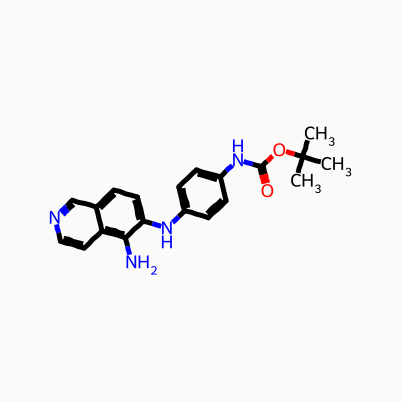 CC(C)(C)OC(=O)Nc1ccc(Nc2ccc3cnccc3c2N)cc1